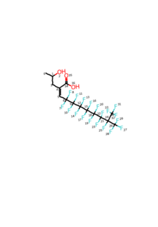 CC(O)CC(=CC(F)(F)C(F)(F)C(F)(F)C(F)(F)C(F)(F)C(F)(F)C(F)(C(F)(F)F)C(F)(F)F)C(=O)O